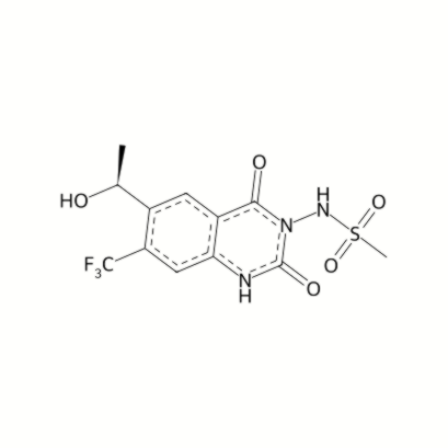 C[C@H](O)c1cc2c(=O)n(NS(C)(=O)=O)c(=O)[nH]c2cc1C(F)(F)F